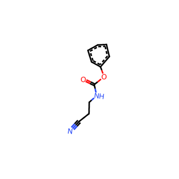 N#CCCNC(=O)Oc1ccccc1